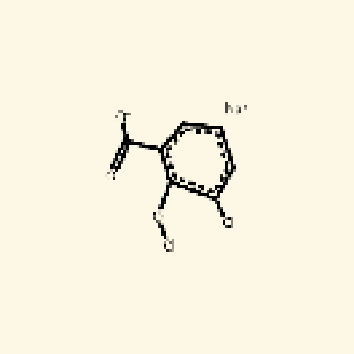 O=C([O-])c1cccc(Cl)c1OCl.[Na+]